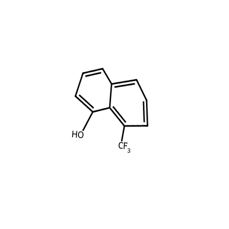 Oc1cccc2cccc(C(F)(F)F)c12